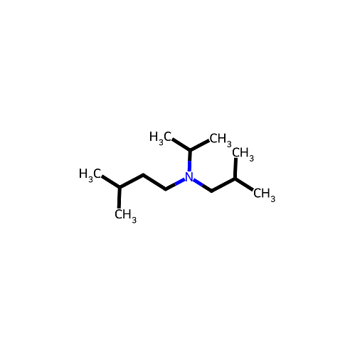 CC(C)CCN(CC(C)C)C(C)C